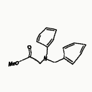 COC(=O)CN(Cc1ccccc1)c1ccccc1